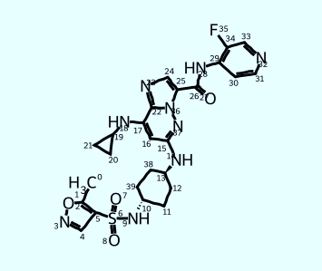 Cc1oncc1S(=O)(=O)N[C@H]1CC[C@H](Nc2cc(NC3CC3)c3ncc(C(=O)Nc4ccncc4F)n3n2)CC1